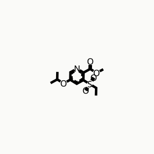 CCS(=O)(=O)c1cc(OC(C)C)cnc1C(=O)OC